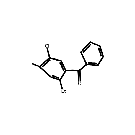 CCc1cc(C)c(Cl)cc1C(=O)c1ccccc1